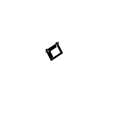 C1=S=NC1